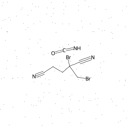 N#CCCC(Br)(C#N)CBr.N=C=O